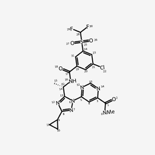 CNC(=O)c1cc(-n2nc(C3CC3)nc2[C@H](C)NC(=O)c2cc(Cl)cc(S(=O)(=O)C(F)F)c2)ncn1